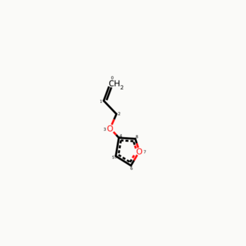 C=CCOc1[c]coc1